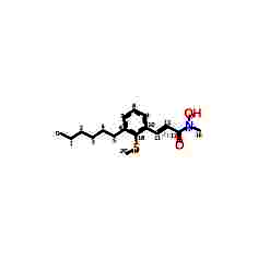 CCCCCCc1cccc(/C=C/C(=O)N(C)O)c1SC